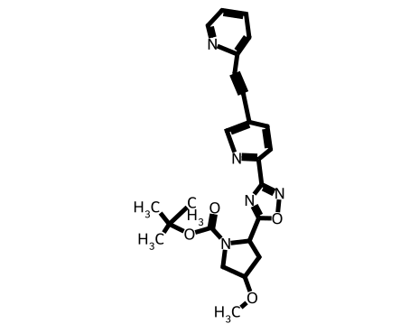 COC1CC(c2nc(-c3ccc(C#Cc4ccccn4)cn3)no2)N(C(=O)OC(C)(C)C)C1